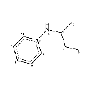 CCC(C)Nc1cc[c]cc1